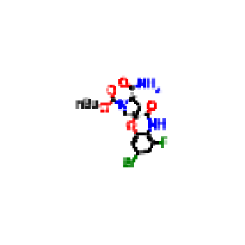 CCCCOC(=O)N1C[C@@]2(C[C@H]1C(N)=O)Oc1cc(Br)cc(F)c1NC2=O